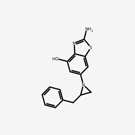 Nc1nc2c(O)cc(N3CC3Cc3ccccc3)cc2s1